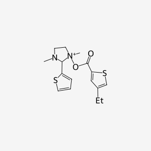 CCc1csc(C(=O)O[N+]2(C)CCN(C)C2c2cccs2)c1